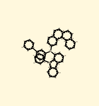 c1ccc(-c2cccc(N(c3ccc4ccc5ccc6ccccc6c5c4c3)c3cccc4c5ccccc5n(-c5ccccc5)c34)c2)cc1